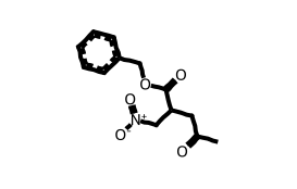 CC(=O)CC(C[N+](=O)[O-])C(=O)OCc1ccccc1